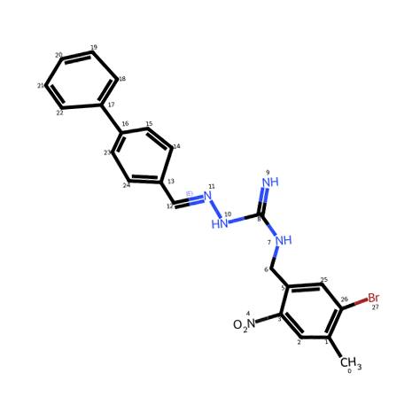 Cc1cc([N+](=O)[O-])c(CNC(=N)N/N=C/c2ccc(-c3ccccc3)cc2)cc1Br